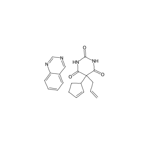 C=CCC1(C2C=CCC2)C(=O)NC(=O)NC1=O.c1ccc2ncncc2c1